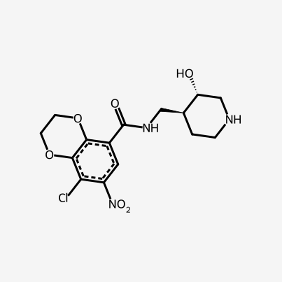 O=C(NC[C@@H]1CCNC[C@H]1O)c1cc([N+](=O)[O-])c(Cl)c2c1OCCO2